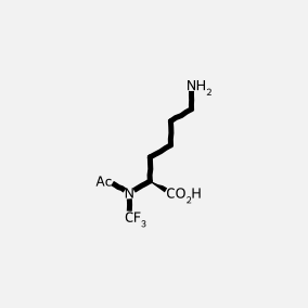 CC(=O)N([C@@H](CCCCN)C(=O)O)C(F)(F)F